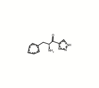 N[C@@H](Cc1ccccc1)C(=O)c1c[nH]nn1